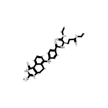 CCOC(=O)CC[C@@H](NC(=O)c1ccc(Nc2cccc3c2CCc2nc(N)[nH]c(=O)c2-3)cc1)C(=O)OCC